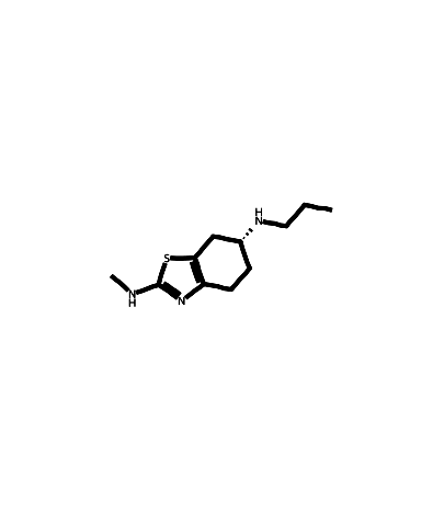 CCCN[C@@H]1CCc2nc(NC)sc2C1